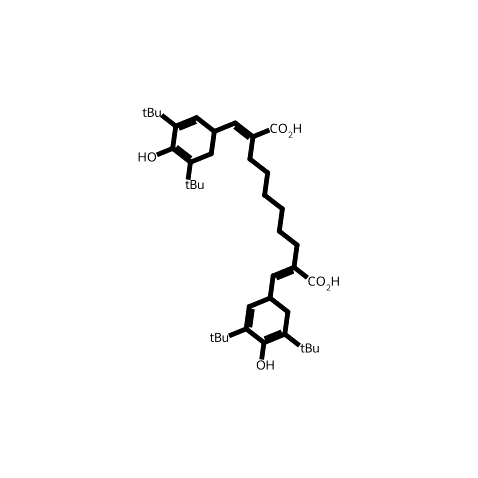 CC(C)(C)C1=CC(C=C(CCCCCCC(=CC2C=C(C(C)(C)C)C(O)=C(C(C)(C)C)C2)C(=O)O)C(=O)O)CC(C(C)(C)C)=C1O